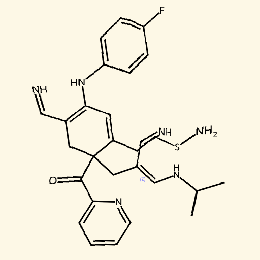 CC(C)N/C=C(\C=N)CC1(C(=O)c2ccccn2)CC(C=N)=C(Nc2ccc(F)cc2)C=C1CCSN